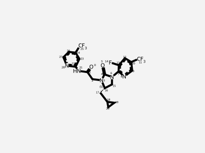 O=C(CN1C(=O)N(c2ncc(C(F)(F)F)cc2F)C[C@@H]1CC1CC1)Nc1cc(C(F)(F)F)ccn1